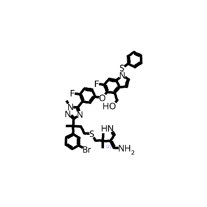 Cn1nc(C(C)(CCSCC(C)(C)/C(C=N)=C/N)c2cccc(Br)c2)nc1-c1cc(Oc2c(F)cc3c(ccn3Sc3ccccc3)c2CO)ccc1F